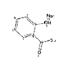 O=C([S-])c1ccccc1O.[Na+]